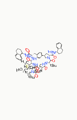 CN[C@@H](C)C(=O)N[C@H](C(=O)N1C[C@@H](c2ccc(C[C@H](NC(=O)C(NC(=O)[C@H](C)N(C)C(=O)OC(C)(C)C)C(C)(C)SCC(=O)O)C(=O)NC3CCCc4ccccc43)cc2)C[C@H]1C(=O)N[C@@H]1CCCc2ccccc21)C(C)(C)C